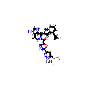 Cc1cc(-c2nnc(C(=O)N3CCc4[nH]cnc4[C@@H]3c3cc4c(C5CC5)cccn4n3)o2)nn1C